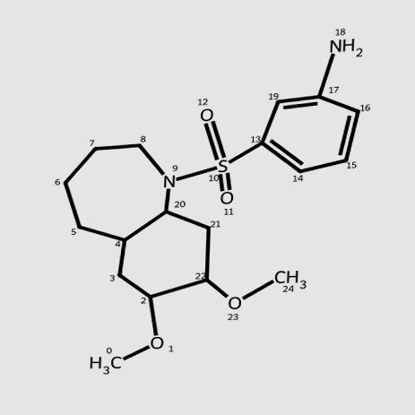 COC1CC2CCCCN(S(=O)(=O)c3cccc(N)c3)C2CC1OC